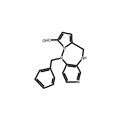 O=Cc1ccc2n1N(Cc1ccccc1)c1ccncc1NC2